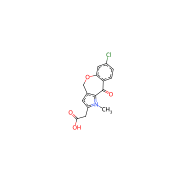 Cn1c(CC(=O)O)cc2c1C(=O)c1ccc(Cl)cc1OC2